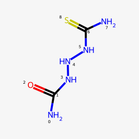 NC(=O)NNNC(N)=S